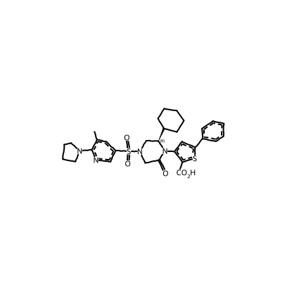 Cc1cc(S(=O)(=O)N2CC(=O)N(c3cc(-c4ccccc4)sc3C(=O)O)[C@H](C3CCCCC3)C2)cnc1N1CCCC1